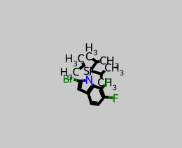 CC(C)[Si](C(C)C)(C(C)C)n1c(Br)cc2ccc(F)c(F)c21